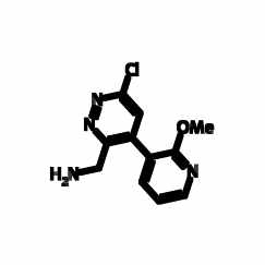 COc1ncccc1-c1cc(Cl)nnc1CN